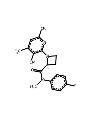 CN(C(=O)[C@@H]1CCN1c1nc(C(F)(F)F)cc(C(F)(F)F)c1C#N)c1ccc(F)cc1